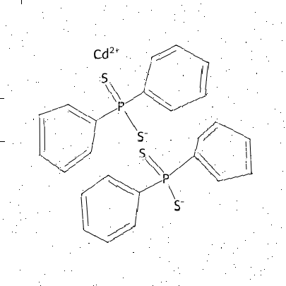 S=P([S-])(c1ccccc1)c1ccccc1.S=P([S-])(c1ccccc1)c1ccccc1.[Cd+2]